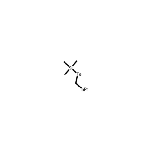 CCCC[Te][Si](C)(C)C